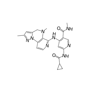 CNC(=O)c1cnc(NC(=O)C2CC2)cc1Nc1nccc2c1N(C)Cc1cc(C)nn1-2